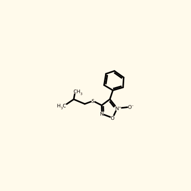 CC(C)CSc1no[n+]([O-])c1-c1ccccc1